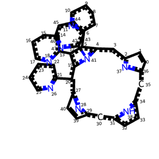 C1=Cc2cc3c(-c4ccccn4)c(-c4ccccn4)c(c(-c4ccccn4)c4nc(cc5ccc(cc1n2)[nH]5)C=C4)n3-c1ccccn1